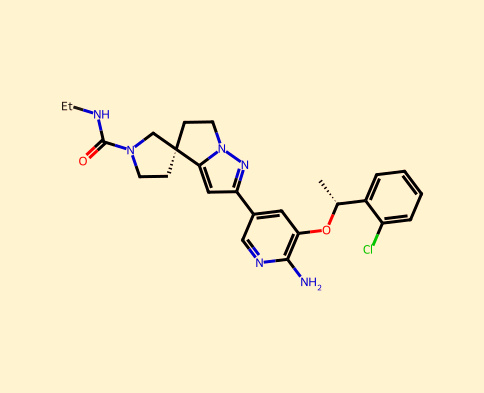 CCNC(=O)N1CC[C@@]2(CCn3nc(-c4cnc(N)c(O[C@H](C)c5ccccc5Cl)c4)cc32)C1